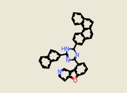 c1ccc2cc(C3=NC(c4cccc5oc6ccncc6c45)=NC(c4ccc5c(ccc6ccc7ccccc7c65)c4)N3)ccc2c1